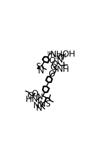 CCOC(=O)NC1N=C(c2ccc(-c3ccc(OCC(=O)NC(C(=O)N4C[C@H](O)C[C@H]4C(=O)N[C@@H](C)c4ccc(-c5scnc5C)cc4)C(C)(C)C)cc3)cc2)c2c(sc(C)c2C)-n2c(C)nnc21